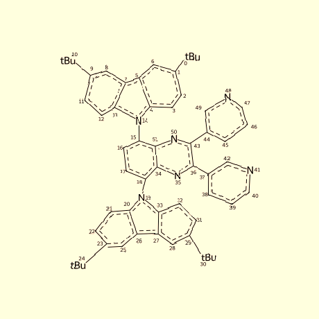 CC(C)(C)c1ccc2c(c1)c1cc(C(C)(C)C)ccc1n2-c1ccc(-n2c3ccc(C(C)(C)C)cc3c3cc(C(C)(C)C)ccc32)c2nc(-c3cccnc3)c(-c3cccnc3)nc12